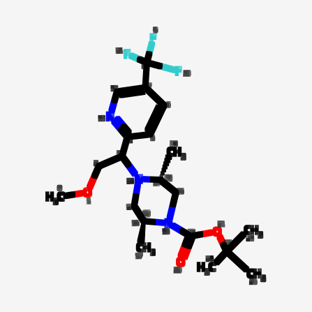 COCC(c1ccc(C(F)(F)F)cn1)N1C[C@H](C)N(C(=O)OC(C)(C)C)C[C@H]1C